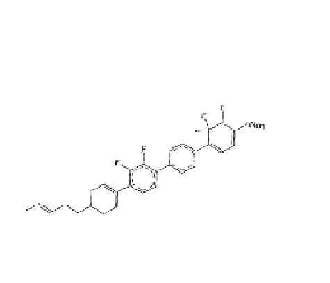 C/C=C/CCC1CC=C(c2ccc(-c3ccc(C4=CC=C(CCCCCCCCC)C(F)C4(C)F)cc3)c(F)c2F)CC1